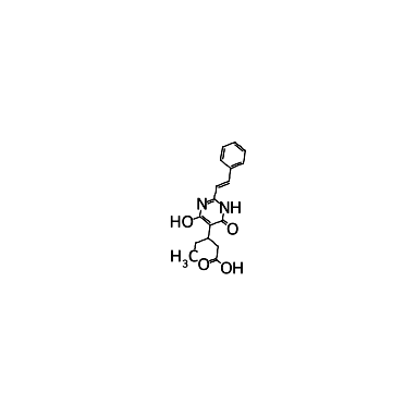 CCC(CC(=O)O)c1c(O)nc(C=Cc2ccccc2)[nH]c1=O